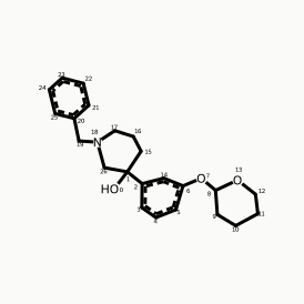 OC1(c2cccc(OC3CCCCO3)c2)CCCN(Cc2ccccc2)C1